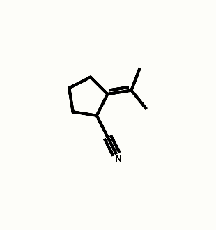 CC(C)=C1CCCC1C#N